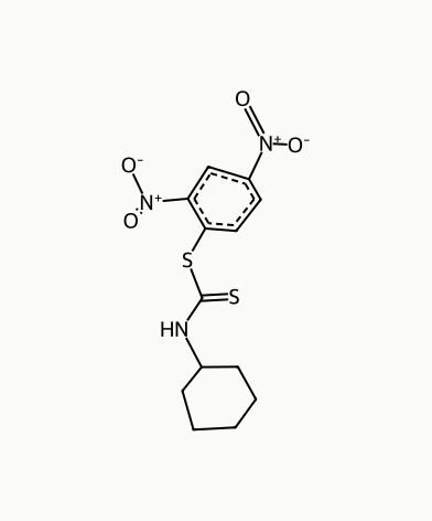 O=[N+]([O-])c1ccc(SC(=S)NC2CCCCC2)c([N+](=O)[O-])c1